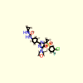 C[C@H]1COCCN1c1cc(C2(S(=O)(=O)c3ccc(F)c(Cl)c3)CC2)nc(-c2ccc(NC(=O)NC3CC3)cc2)n1